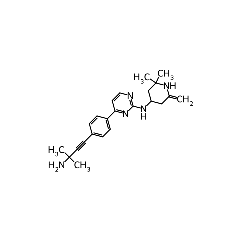 C=C1CC(Nc2nccc(-c3ccc(C#CC(C)(C)N)cc3)n2)CC(C)(C)N1